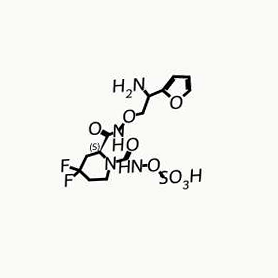 NC(CONC(=O)[C@@H]1CC(F)(F)CCN1C(=O)NOS(=O)(=O)O)c1ccco1